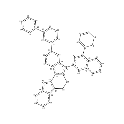 C1=CCCC(c2nc(-n3c4c(c5ccc(-c6cccc(-c7ccccc7)c6)cc53)-c3sc5ccccc5c3CC4)nc3ccccc23)=C1